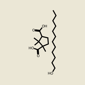 CC1(C(=O)O)CCC(C(=O)O)C1(C)C.CCCCCCCCCCCCO